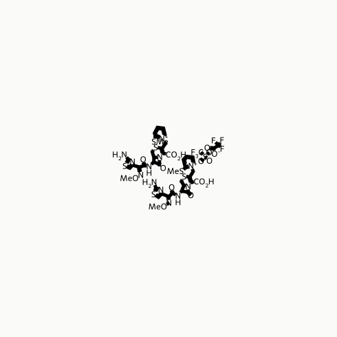 CON=C(C(=O)NC1C(=O)N2C(C(=O)O)=C(C[n+]3ccccc3SC)SCC12)c1csc(N)n1.CON=C(C(=O)NC1C(=O)N2C(C(=O)O)=C(C[n+]3ccccc3SC)SCC12)c1csc(N)n1.O=C([O-])C(F)(F)F.O=S(=O)([O-])C(F)(F)F